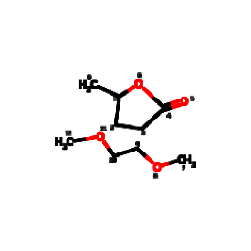 CC1CCC(=O)O1.COCCOC